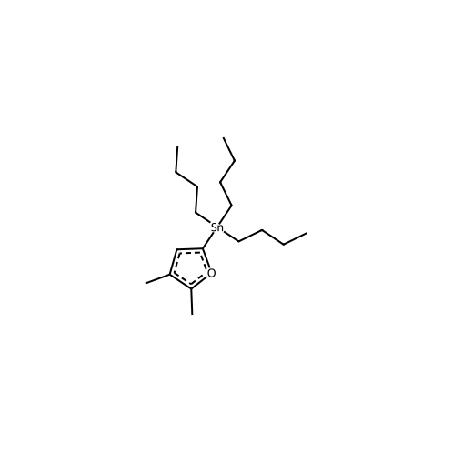 CCC[CH2][Sn]([CH2]CCC)([CH2]CCC)[c]1cc(C)c(C)o1